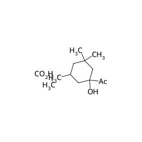 CC(=O)C1(O)CC(C)CC(C)(C)C1.CC(=O)O